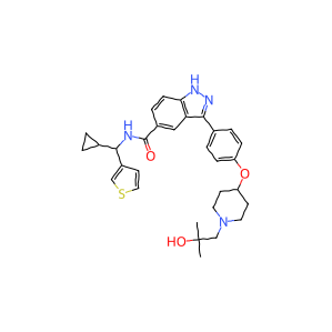 CC(C)(O)CN1CCC(Oc2ccc(-c3n[nH]c4ccc(C(=O)NC(c5ccsc5)C5CC5)cc34)cc2)CC1